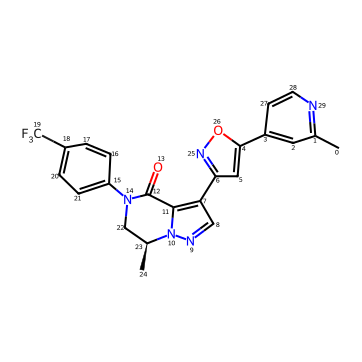 Cc1cc(-c2cc(-c3cnn4c3C(=O)N(c3ccc(C(F)(F)F)cc3)C[C@@H]4C)no2)ccn1